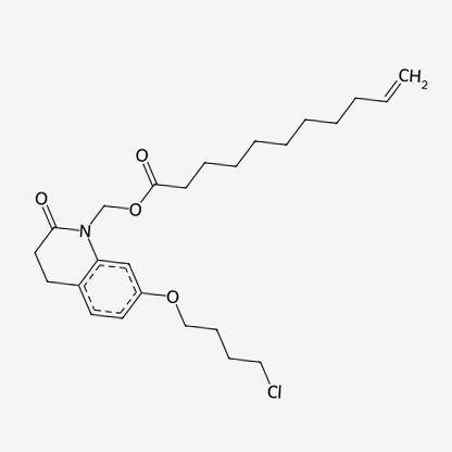 C=CCCCCCCCCC(=O)OCN1C(=O)CCc2ccc(OCCCCCl)cc21